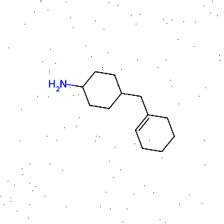 NC1CCC(CC2=CCCCC2)CC1